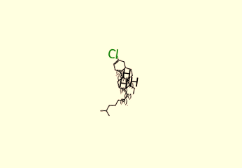 CC(C)CCC[C@@H](C)[C@H]1CC[C@H]2[C@@H]3CCC4CC(Cl)=CC[C@]4(C)[C@H]3CC[C@]12C